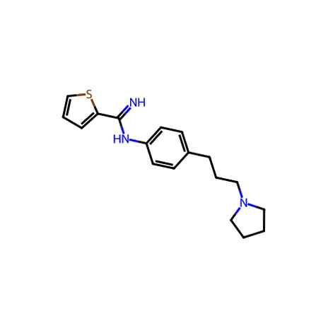 N=C(Nc1ccc(CCCN2CCCC2)cc1)c1cccs1